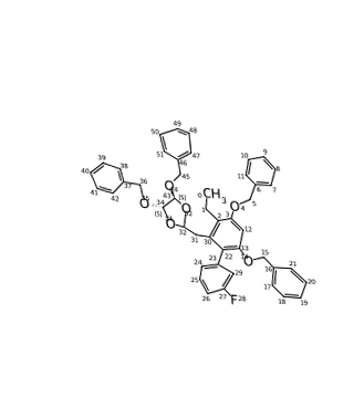 CCc1c(OCc2ccccc2)cc(OCc2ccccc2)c(-c2cccc(F)c2)c1CC1O[C@H](OCc2ccccc2)[C@@H](OCc2ccccc2)O1